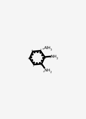 Nc1ccccc1N.[AlH3]